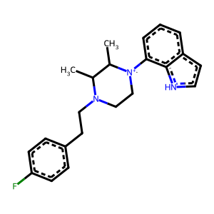 CC1C(C)[N+](c2cccc3cc[nH]c23)CCN1CCc1ccc(F)cc1